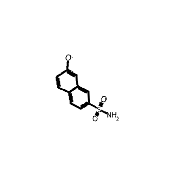 NS(=O)(=O)c1ccc2ccc([O])cc2c1